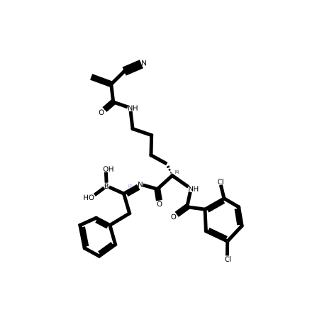 C=C(C#N)C(=O)NCCCC[C@H](NC(=O)c1cc(Cl)ccc1Cl)C(=O)/N=C(\Cc1ccccc1)B(O)O